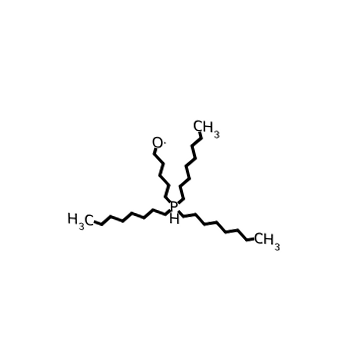 CCCCCCCC[PH](CCCCC[O])(CCCCCCCC)CCCCCCCC